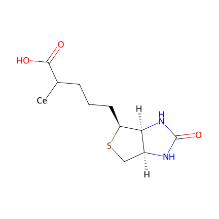 O=C1N[C@H]2[C@H](CS[C@H]2CCC[CH]([Ce])C(=O)O)N1